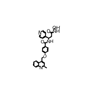 Cc1cc(COc2ccc(C(=O)NC(CC(=O)NO)c3ccncc3)cc2)c2ccccc2n1